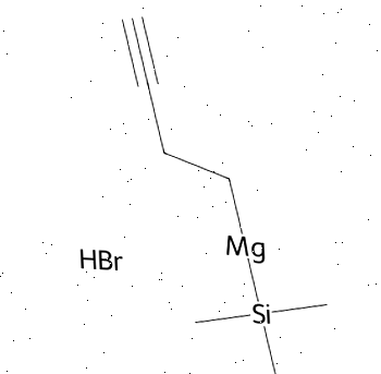 Br.C#CC[CH2][Mg][Si](C)(C)C